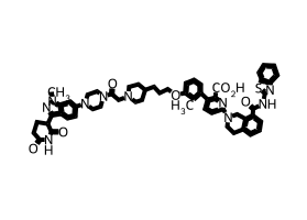 Cc1c(OCCCC2CCN(CC(=O)N3CCN(c4ccc5c(C6CCC(=O)NC6=O)nn(C)c5c4)CC3)CC2)cccc1-c1ccc(N2CCc3cccc(C(=O)Nc4nc5ccccc5s4)c3C2)nc1C(=O)O